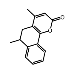 Cc1cc(=O)oc2c1CC(C)c1ccccc1-2